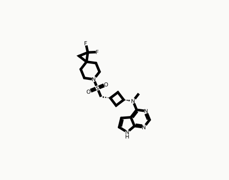 CN(c1ncnc2[nH]ccc12)[C@H]1C[C@@H](CS(=O)(=O)N2CCC3(CC2)CC3(F)F)C1